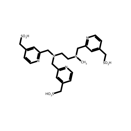 CN(CCN(Cc1cc(CS(=O)(=O)O)ccn1)Cc1cc(CS(=O)(=O)O)ccn1)Cc1cc(CS(=O)(=O)O)ccn1